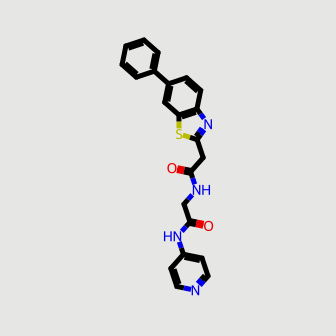 O=C(Cc1nc2ccc(-c3ccccc3)cc2s1)NCC(=O)Nc1ccncc1